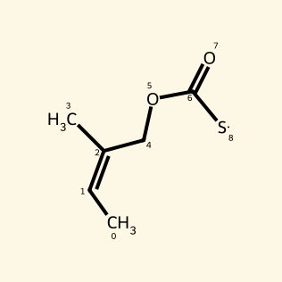 CC=C(C)COC(=O)[S]